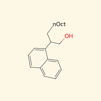 CCCCCCCCCC(CO)c1cccc2ccccc12